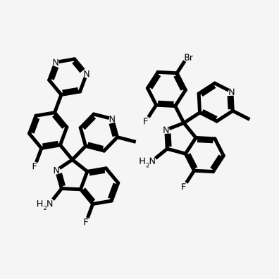 Cc1cc(C2(c3cc(-c4cncnc4)ccc3F)N=C(N)c3c(F)cccc32)ccn1.Cc1cc(C2(c3cc(Br)ccc3F)N=C(N)c3c(F)cccc32)ccn1